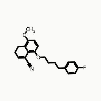 COc1ccc(OCCCCc2ccc(F)cc2)c2c1CCC=C2C#N